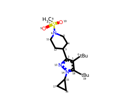 CC(C)(C)c1c(C2CCN(S(C)(=O)=O)CC2)nn(C2CC2)c1C(C)(C)C